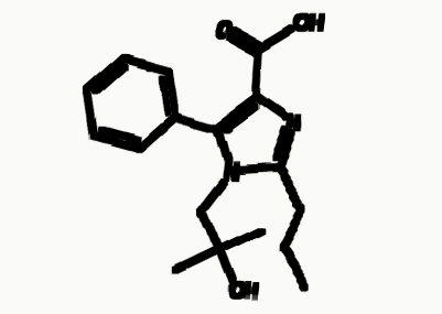 CCCc1nc(C(=O)O)c(-c2ccccc2)n1CC(C)(C)O